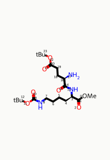 COC(=O)[C@@H](CCCCNC(=O)OC(C)(C)C)NC(=O)[C@H](N)CCC(=O)OC(C)(C)C